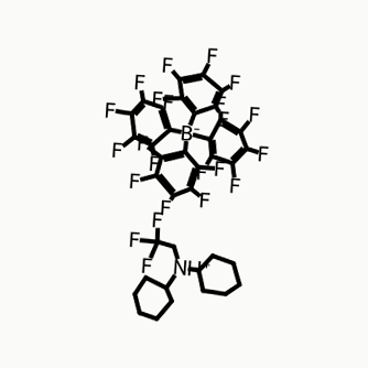 FC(F)(F)C[NH+](C1CCCCC1)C1CCCCC1.Fc1c(F)c(F)c([B-](c2c(F)c(F)c(F)c(F)c2F)(c2c(F)c(F)c(F)c(F)c2F)c2c(F)c(F)c(F)c(F)c2F)c(F)c1F